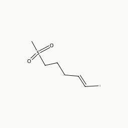 [CH]C=C[CH]CCS(C)(=O)=O